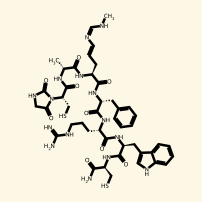 CN/C=N\C=C\C[C@H](NC(=O)[C@@H](C)NC(=O)[C@H](CS)N1C(=O)CNC1=O)C(=O)N[C@H](Cc1ccccc1)C(=O)N[C@@H](CCCNC(=N)N)C(=O)N[C@@H](Cc1c[nH]c2ccccc12)C(=O)N[C@@H](CS)C(N)=O